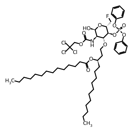 CCCCCCCCCCCCCC(=O)O[C@H](CCCCCCCCCCC)CCO[C@@H]1[C@@H](NC(=O)OCC(Cl)(Cl)Cl)[C@@H](O)O[C@H](CF)[C@H]1OP(=O)(Oc1ccccc1)Oc1ccccc1